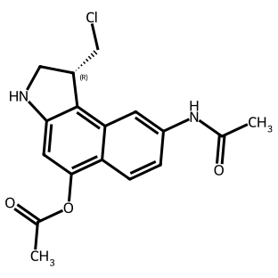 CC(=O)Nc1ccc2c(OC(C)=O)cc3c(c2c1)[C@@H](CCl)CN3